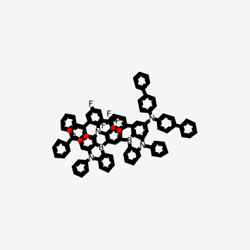 Fc1cc(-c2ccccc2)c(N2c3cc(N(c4ccccc4)c4ccccc4)cc4c3B(c3ccccc3N4c3ccccc3)c3cc4c(c(C(F)(F)F)c32)Sc2cc(N(c3ccc(-c5ccccc5)cc3)c3ccc(-c5ccccc5)cc3)cc3c2B4c2ccccc2N3c2ccccc2)c(-c2ccccc2)c1